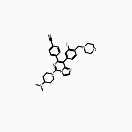 CN(C)C1CCN(c2nc(-c3ccc(C#N)cc3)c(-c3ccc(CN4CCOCC4)c(F)c3)c3nccn23)CC1